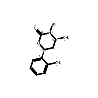 Cc1ccccc1[C@@H]1C[C@H](C)N(C(C)C)C(=O)O1